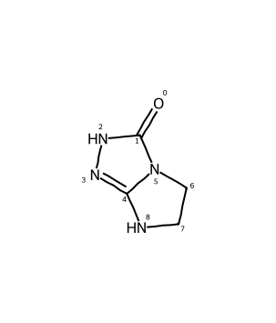 O=c1[nH]nc2n1CCN2